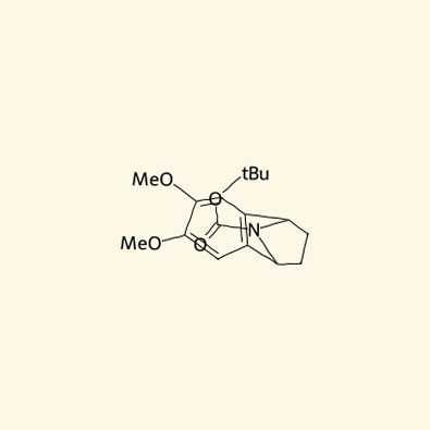 COc1cc2c(cc1OC)C1CCC2N1C(=O)OC(C)(C)C